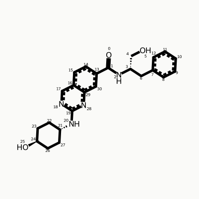 O=C(N[C@H](CO)Cc1ccccc1)c1ccc2cnc(N[C@H]3CC[C@H](O)CC3)nc2c1